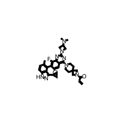 C=CC(=O)N1CC2(CCN(c3nc(N4CC(N(C)C)C4)nc4c(F)c(-c5c(C)ccc6[nH]nc(C7CC7)c56)c(Cl)cc34)CC2)C1